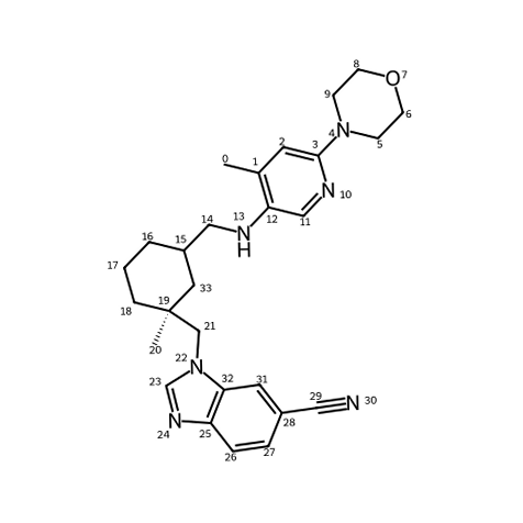 Cc1cc(N2CCOCC2)ncc1NCC1CCC[C@](C)(Cn2cnc3ccc(C#N)cc32)C1